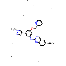 C#Cc1ccc2nc(Nc3cc(OCc4ccccn4)cc(-c4cnn(C)c4)c3)ncc2c1